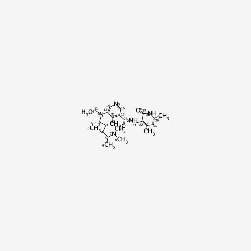 CC[C@@H](CC[C@H](C)N(C)C)N(CC)c1cncc(C(=O)NCc2c(C)cc(C)[nH]c2=O)c1C